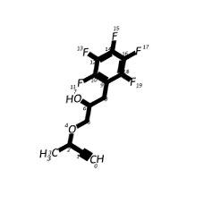 C#CC(C)OCC(O)Cc1c(F)c(F)c(F)c(F)c1F